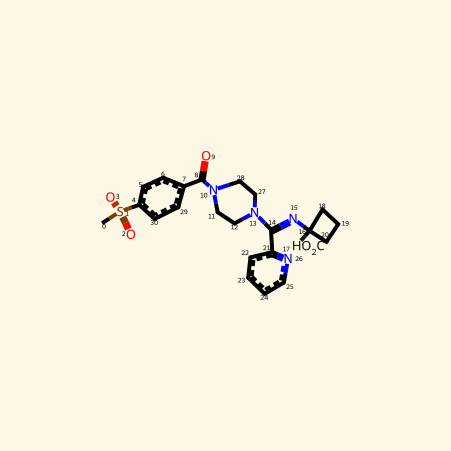 CS(=O)(=O)c1ccc(C(=O)N2CCN(C(=NC3(C(=O)O)CCC3)c3ccccn3)CC2)cc1